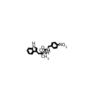 C[C@](Cc1c[nH]c2ccccc12)(NC(=O)OCc1ccc([N+](=O)[O-])cc1)C(=O)O